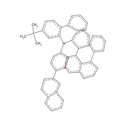 CC(C)(C)c1ccc(-c2ccccc2)c(N(c2ccc(-c3ccc4ccccc4c3)cc2)c2ccccc2-c2cccc3cccc(-c4ccccc4)c23)c1